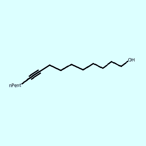 CCCCCC#CCCCCCCCCO